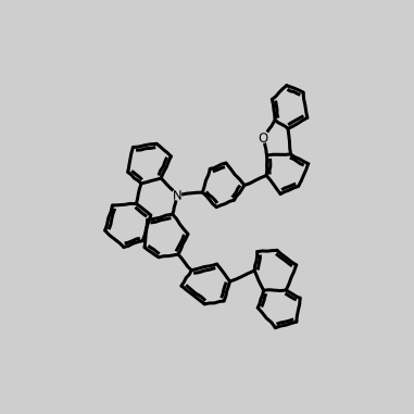 c1ccc(-c2ccccc2N(c2ccc(-c3cccc4c3oc3ccccc34)cc2)c2cccc(-c3cccc(-c4cccc5ccccc45)c3)c2)cc1